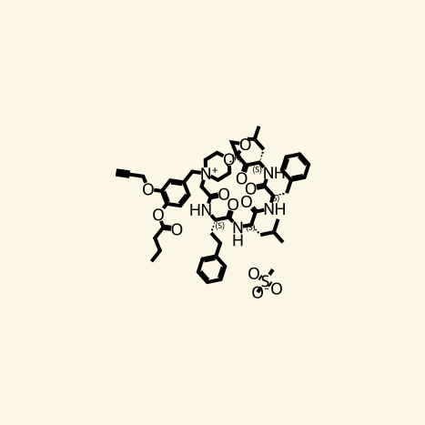 C#CCOc1cc(C[N+]2(CC(=O)N[C@@H](CCc3ccccc3)C(=O)N[C@@H](CC(C)C)C(=O)N[C@@H](Cc3ccccc3)C(=O)N[C@@H](CC(C)C)C(=O)[C@@]3(C)CO3)CCOCC2)ccc1OC(=O)CCC.CS(=O)(=O)[O-]